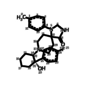 Cc1ccc(N2CNC(=O)C23CCN([C@@H]2CCCC[C@]2(O)c2ccc(F)cc2)CC3)cc1